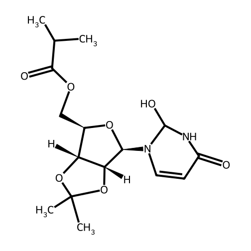 CC(C)C(=O)OC[C@H]1O[C@@H](N2C=CC(=O)NC2O)[C@@H]2OC(C)(C)O[C@@H]21